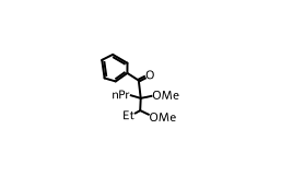 CCCC(OC)(C(=O)c1ccccc1)C(CC)OC